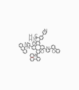 CC(C)c1cc(-c2ccncc2)ccc1-c1cc2oc3c(-c4ccnc(-c5c6ccccc6cc6ccccc56)n4)ccc4c5cc(N(c6ccccc6)c6ccccc6-c6ccccc6)cc6oc7c(-c8cccc(-c9cccc%10c9oc9ccccc9%10)n8)ccc(c(c1)c2c34)c7c65